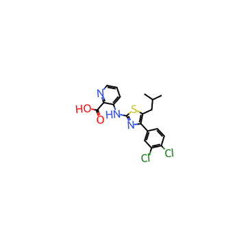 CC(C)Cc1sc(Nc2cccnc2C(=O)O)nc1-c1ccc(Cl)c(Cl)c1